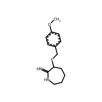 COc1ccc(CSC2CCCCNC2=N)cc1